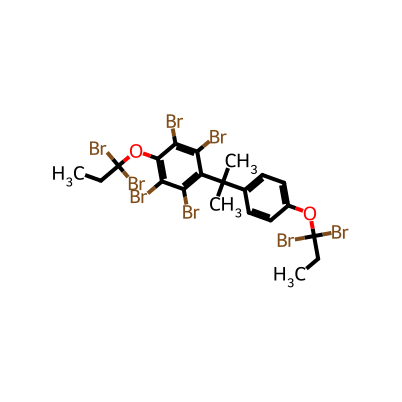 CCC(Br)(Br)Oc1ccc(C(C)(C)c2c(Br)c(Br)c(OC(Br)(Br)CC)c(Br)c2Br)cc1